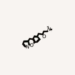 CN(C)CCC(=O)Cc1ccc2c(c1)Cc1cccnc1O2